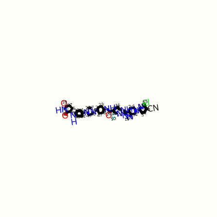 N#Cc1ccc(N2CCc3c(ncnc3Nc3ccc(C(=O)NC4CCC(N5CCN(c6ccc(NC7CCC(=O)NC7=O)cc6)CC5)CC4)c(F)n3)C2)nc1Cl